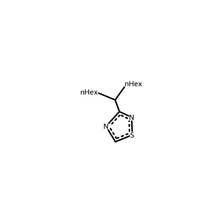 CCCCCCC(CCCCCC)c1ncsn1